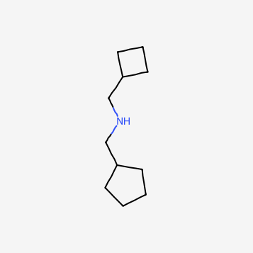 C1CCC(CNCC2CCC2)C1